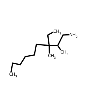 CCCCCCC(C)(CC)C(C)CN